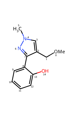 COCc1cn(C)nc1-c1ccccc1O